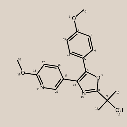 COc1ccc(-c2oc(C(C)(C)O)nc2-c2ccc(OC)nc2)cc1